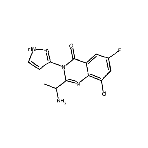 CC(N)c1nc2c(Cl)cc(F)cc2c(=O)n1-c1cc[nH]n1